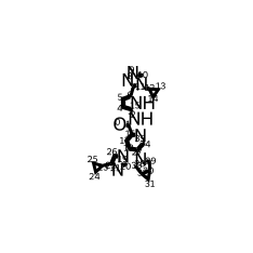 O=C(Nc1ccc(-c2nncn2C2CC2)[nH]1)c1cc(-n2cnc(C3CC3)c2)c(N2CC3CC3C2)cn1